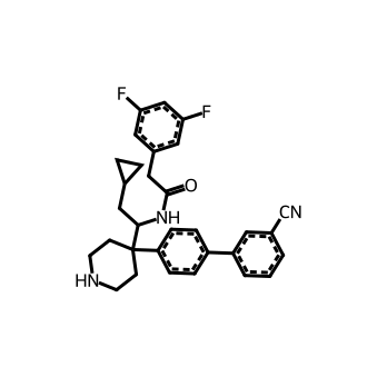 N#Cc1cccc(-c2ccc(C3(C(CC4CC4)NC(=O)Cc4cc(F)cc(F)c4)CCNCC3)cc2)c1